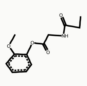 CCC(=O)NCC(=O)Oc1ccccc1OC